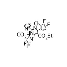 CCOC(=O)C1=C(CN2CC(F)(F)C[C@H]2C(=O)O)NC(c2nccs2)=N[C@H]1c1ccc(F)c(F)c1Cl